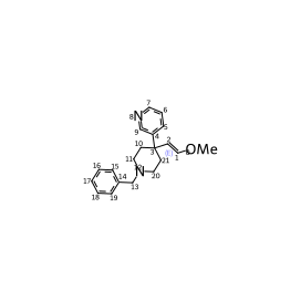 CO/C=C/C1(c2cccnc2)CCN(Cc2ccccc2)CC1